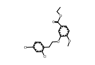 CCOC(=O)c1ccc(OC)c(OCCc2ccc(Cl)cc2Cl)c1